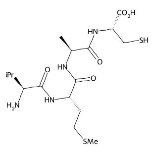 CSCC[C@H](NC(=O)[C@@H](N)C(C)C)C(=O)N[C@@H](C)C(=O)N[C@@H](CS)C(=O)O